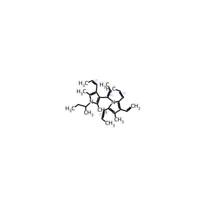 C=Cc1c(C)c(/C=C\C)n(/C(=C/C)c2c(/C=C\C)c(C)n(C(C)CC)c2C)c1/C=C\C